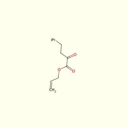 C=CCOC(=O)C(=O)CCC(C)C